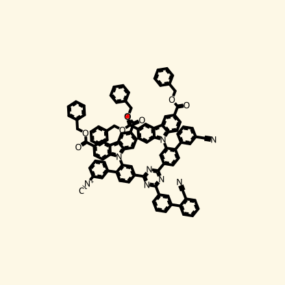 [C-]#[N+]c1cccc(-c2ccc(-c3nc(-c4cccc(-c5ccccc5C#N)c4)nc(-c4ccc(-c5cccc(C#N)c5)c(-n5c6ccc(C(=O)OCc7ccccc7)cc6c6cc(C(=O)OCc7ccccc7)ccc65)c4)n3)cc2-n2c3ccc(C(=O)OCc4ccccc4)cc3c3cc(C(=O)OCc4ccccc4)ccc32)c1